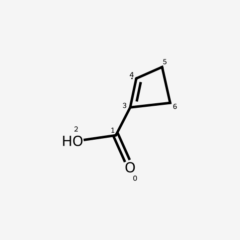 O=C(O)C1=[C]CC1